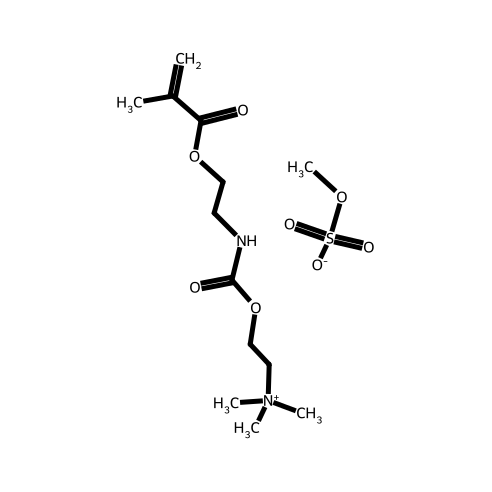 C=C(C)C(=O)OCCNC(=O)OCC[N+](C)(C)C.COS(=O)(=O)[O-]